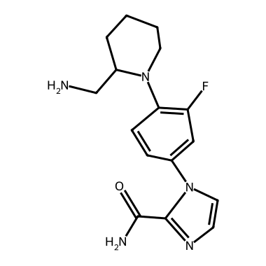 NCC1CCCCN1c1ccc(-n2ccnc2C(N)=O)cc1F